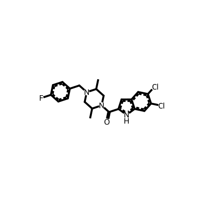 CC1CN(C(=O)c2cc3cc(Cl)c(Cl)cc3[nH]2)C(C)CN1Cc1ccc(F)cc1